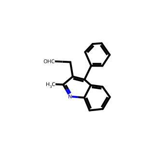 Cc1nc2ccccc2c(-c2ccccc2)c1CC=O